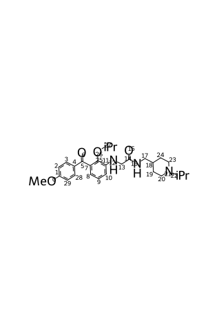 COc1ccc(C(=O)c2cccc(NCC(=O)NCC3CCN(C(C)C)CC3)c2OC(C)C)cc1